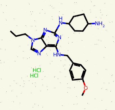 CCCn1cnc2c(NCc3ccc(OC)cc3)nc(NC3CCC(N)CC3)nc21.Cl.Cl